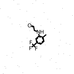 Cc1ccc(C(F)(F)F)cc1NCC=O